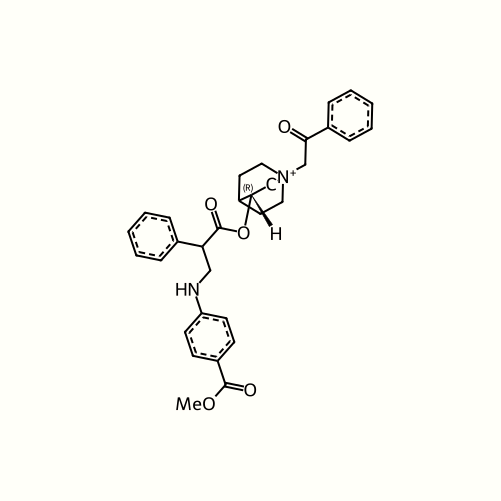 COC(=O)c1ccc(NCC(C(=O)O[C@H]2C[N+]3(CC(=O)c4ccccc4)CCC2CC3)c2ccccc2)cc1